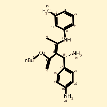 C=C(OCCCC)/C(=C(\C)Nc1cccc(C(F)(F)F)c1)[C@H](N)c1ccc(N)cc1